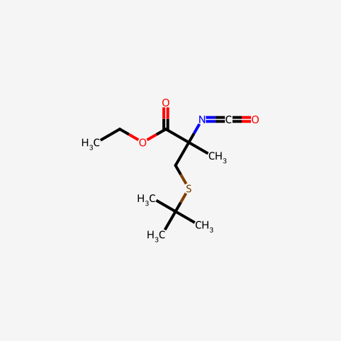 CCOC(=O)C(C)(CSC(C)(C)C)N=C=O